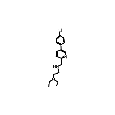 CCN(CC)CCNCc1ccc(-c2ccc(Cl)cc2)cn1